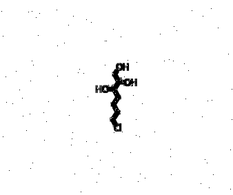 OCC(O)C(O)CCCCCl